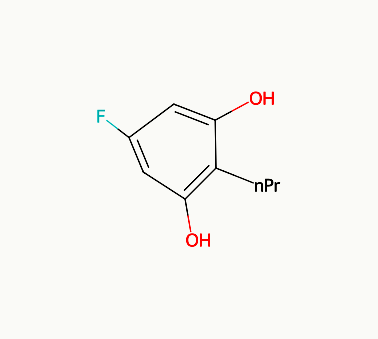 CCCc1c(O)cc(F)cc1O